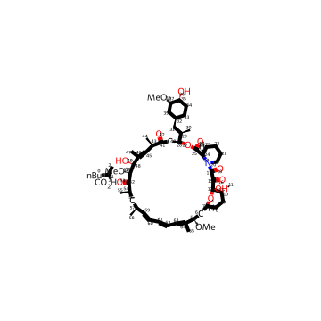 CCCCC(C)C(=O)O.CO[C@H]1C[C@@H]2CC[C@@H](C)[C@@](O)(O2)C(=O)C(=O)N2CCCC[C@H]2C(=O)O[C@H]([C@H](C)C[C@@H]2CC[C@@H](O)[C@H](OC)C2)CC(=O)[C@H](C)/C=C(\C)[C@@H](O)[C@@H](OC)C(=O)[C@H](C)C[C@H](C)/C=C/C=C/C=C/1C